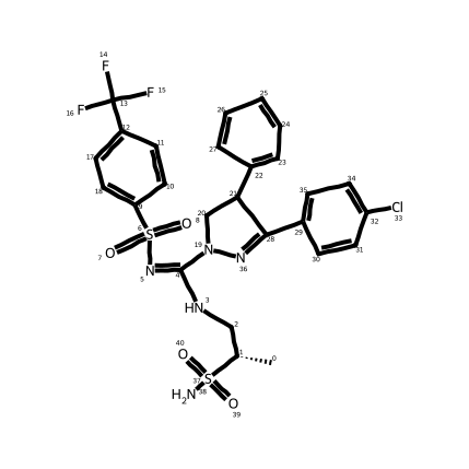 C[C@@H](CNC(=NS(=O)(=O)c1ccc(C(F)(F)F)cc1)N1CC(c2ccccc2)C(c2ccc(Cl)cc2)=N1)S(N)(=O)=O